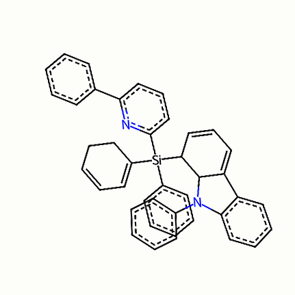 C1=CCCC([Si](c2ccccc2)(c2cccc(-c3ccccc3)n2)C2C=CC=C3c4ccccc4N(c4ccccc4)C32)=C1